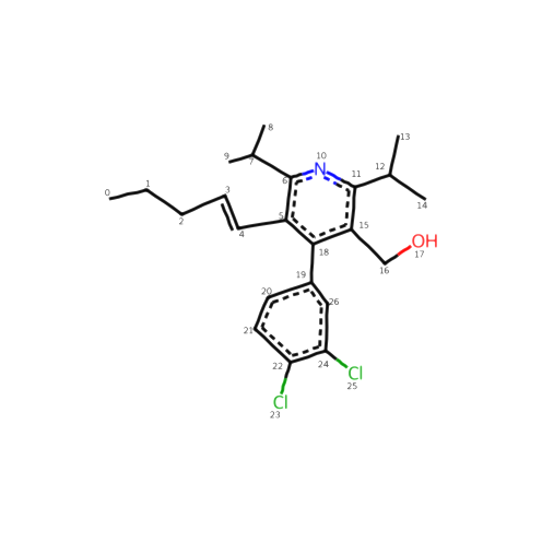 CCCC=Cc1c(C(C)C)nc(C(C)C)c(CO)c1-c1ccc(Cl)c(Cl)c1